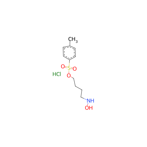 Cc1ccc(S(=O)(=O)OCCCCNO)cc1.Cl